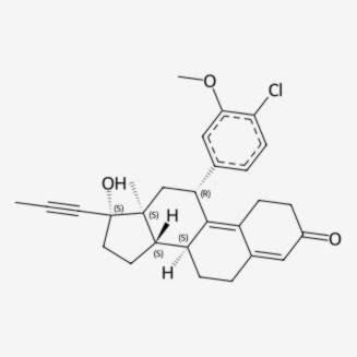 CC#C[C@]1(O)CC[C@H]2[C@@H]3CCC4=CC(=O)CCC4=C3[C@@H](c3ccc(Cl)c(OC)c3)C[C@@]21C